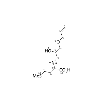 C=CCOCC(O)CN[C@@H](CCSC)C(=O)O